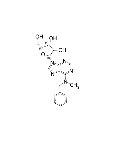 CN(Cc1ccccc1)c1ncnc2c1ncn2[C@@H]1O[C@H](CO)[C@H](O)C1O